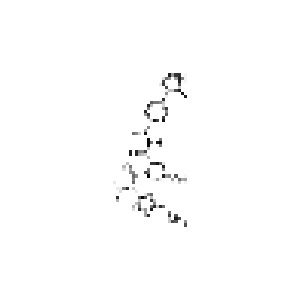 Cc1ncsc1-c1ccc([C@H](C)NC(=O)[C@@H]2C[C@@H](O)CN2C(=O)[C@@H](c2cc(CN)no2)C(C)C)cc1